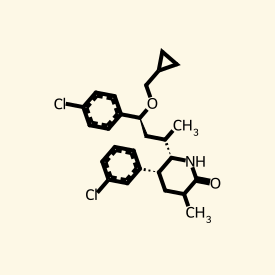 CC1C[C@H](c2cccc(Cl)c2)[C@H](C(C)C[C@H](OCC2CC2)c2ccc(Cl)cc2)NC1=O